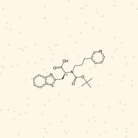 CC(C)(C)OC(=O)N(CCCc1cccnc1)[C@@H](Cc1nc2ccccc2s1)C(=O)O